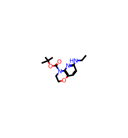 CCNc1ccc2c(n1)N(C(=O)OC(C)(C)C)CCO2